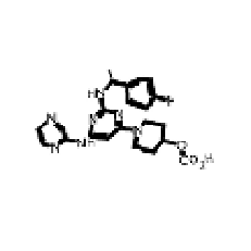 C[C@H](Nc1nc(Nc2cnccn2)cc(N2CCC(OC(=O)O)CC2)n1)c1ccc(F)cc1